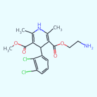 COC(=O)C1=C(C)NC(C)=C(C(=O)OCCN)C1c1cccc(Cl)c1Cl